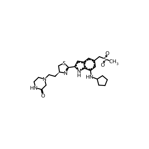 CS(=O)(=O)Cc1cc(NC2CCCC2)c2[nH]c(C3=N[C@@H](CCN4CCNC(=O)C4)CS3)cc2c1